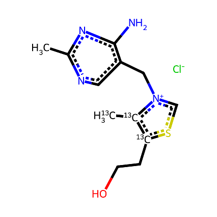 Cc1ncc(C[n+]2cs[13c](CCO)[13c]2[13CH3])c(N)n1.[Cl-]